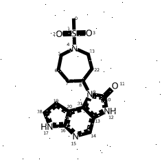 CS(=O)(=O)N1CCCC(n2c(=O)[nH]c3cnc4[nH]ccc4c32)CC1